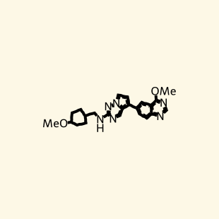 COc1ncnc2ccc(-c3ccn4nc(NCC5CCC(OC)CC5)ncc34)cc12